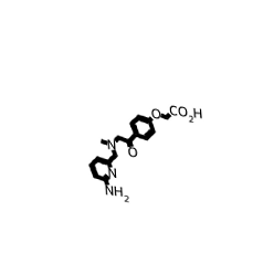 CN(CC(=O)c1ccc(OCC(=O)O)cc1)Cc1cccc(N)n1